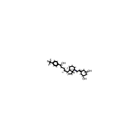 C[C@H](CC[C@H](O)c1ccc(C(F)(F)F)cc1)[C@H]1CC[C@H]2/C(=C/C=C3C[C@@H](O)C[C@H](O)C3)CCC[C@]12C